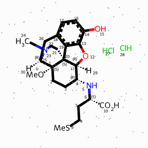 CO[C@@]12CC[C@@H](N[C@@H](CCSC)C(=O)O)[C@@H]3Oc4c(O)ccc5c4[C@@]31CCN(C)[C@@H]2C5.Cl.Cl